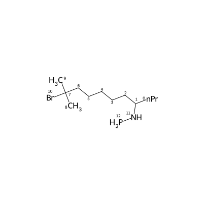 CCCC(CCCCCC(C)(C)Br)NP